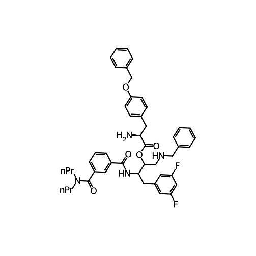 CCCN(CCC)C(=O)c1cccc(C(=O)NC(Cc2cc(F)cc(F)c2)C(CNCc2ccccc2)OC(=O)[C@@H](N)Cc2ccc(OCc3ccccc3)cc2)c1